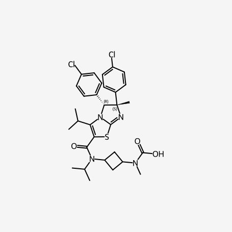 CC(C)C1=C(C(=O)N(C(C)C)C2CC(N(C)C(=O)O)C2)SC2=N[C@@](C)(c3ccc(Cl)cc3)[C@@H](c3ccc(Cl)cc3)N21